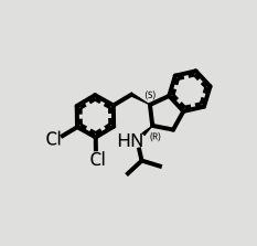 CC(C)N[C@@H]1Cc2ccccc2[C@@H]1Cc1ccc(Cl)c(Cl)c1